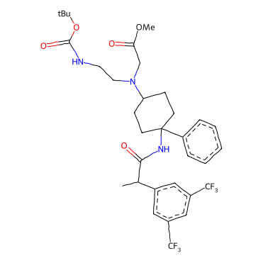 COC(=O)CN(CCNC(=O)OC(C)(C)C)C1CCC(NC(=O)C(C)c2cc(C(F)(F)F)cc(C(F)(F)F)c2)(c2ccccc2)CC1